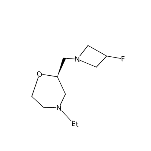 CCN1CCO[C@@H](CN2CC(F)C2)C1